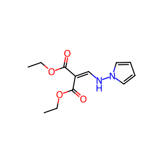 CCOC(=O)C(=CNn1cccc1)C(=O)OCC